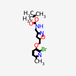 Cc1ccc(OCC2CC(CNC(=O)OC(C)(C)C)=NO2)c(Br)n1